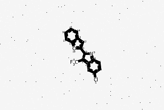 FC(F)(F)C1=c2cc(Cl)ccc2=NC1c1cc2ccccc2o1